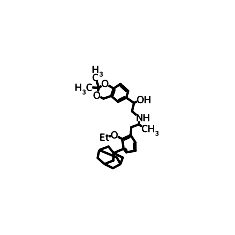 CCOc1c(CC(C)NCC(O)c2ccc3c(c2)COC(C)(C)O3)cccc1C12CC3CC(CC(C3)C1)C2